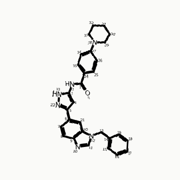 O=C(Nc1cc(-c2ccc3ncn(Cc4ccccc4)c3c2)n[nH]1)c1ccc(N2CCCCC2)cc1